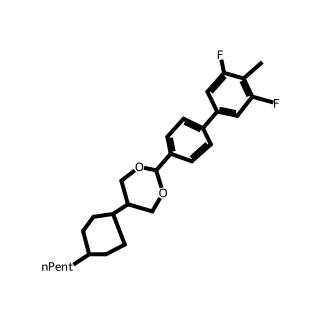 CCCCCC1CCC(C2COC(c3ccc(-c4cc(F)c(C)c(F)c4)cc3)OC2)CC1